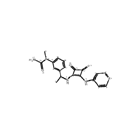 CC(Nc1c(Nc2ccncc2)c(=O)c1=O)c1cccc(N(C)C(N)=O)c1